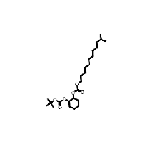 CC(C)CCCCCCCCCCOC(=O)OC1CCCCC1OC(=O)OC(C)(C)C